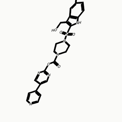 O=C(Oc1ncc(-c2ccncc2)cn1)N1CCN(S(=O)(=O)c2[nH]c3ccc(Cl)cc3c2CO)CC1